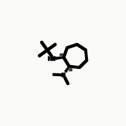 CN(C)[C@H]1CCCCC[C@@H]1NC(C)(C)C